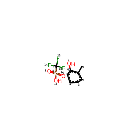 Cc1ccccc1O.O=S(=O)(O)C(F)(F)F